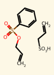 C=CCOS(=O)(=O)c1ccccc1.C=CCS(=O)(=O)O